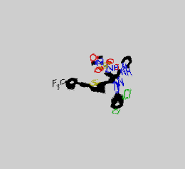 O=C(NN1CCCCC1)c1nn(-c2ccc(Cl)cc2Cl)c(-c2ccc(C#Cc3ccc(C(F)(F)F)cc3)s2)c1CNS(=O)(=O)N1COC1